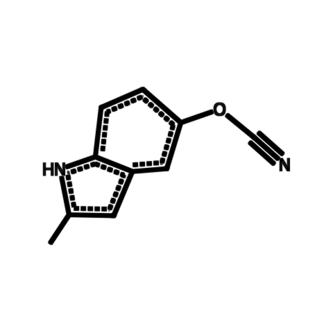 Cc1cc2cc(OC#N)ccc2[nH]1